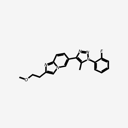 COCCc1cn2cc(-c3nnn(-c4ccccc4F)c3C)ccc2n1